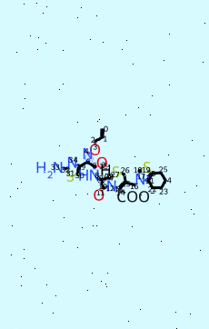 C=CCO/N=C(\C(=O)N[C@@H]1C(=O)N2C(C(=O)[O-])=C(C[n+]3csc4c3CCCC4)CS[C@@H]12)c1csc(N)n1